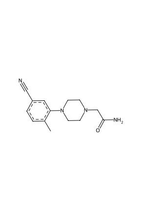 Cc1ccc(C#N)cc1N1CCN(CC(N)=O)CC1